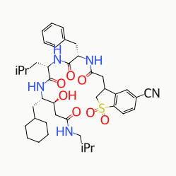 CC(C)CNC(=O)C[C@H](O)[C@H](CC1CCCCC1)NC(=O)[C@H](CC(C)C)NC(=O)[C@H](Cc1ccccc1)NC(=O)CC1CS(=O)(=O)c2ccc(C#N)cc21